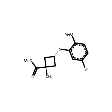 COc1ccc(Br)cc1S[C@H]1C[C@@](C)(C(=O)OC)C1